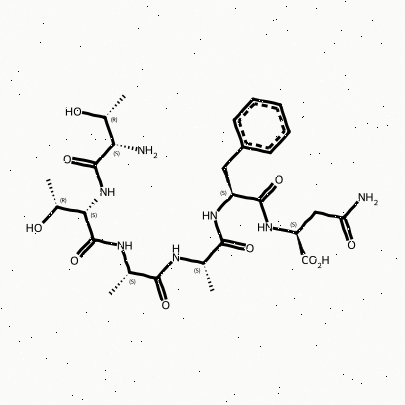 C[C@H](NC(=O)[C@H](C)NC(=O)[C@@H](NC(=O)[C@@H](N)[C@@H](C)O)[C@@H](C)O)C(=O)N[C@@H](Cc1ccccc1)C(=O)N[C@@H](CC(N)=O)C(=O)O